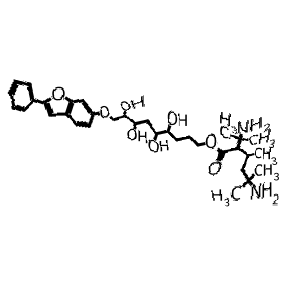 CC(CC(C)(C)N)C(C(=O)OCCCC(O)C(O)CC(O)C(O)COc1ccc2cc(-c3ccccc3)oc2c1)C(C)(C)N